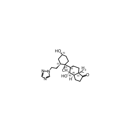 C[C@]1([C@H]2CC[C@]3(C)C(=O)CC[C@H]3[C@@H]2O)CC[C@H](O)C[C@@H]1CCn1cncn1